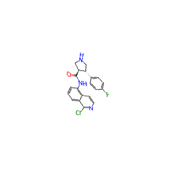 O=C(Nc1cccc2c(Cl)nccc12)[C@H]1CNC[C@@H]1c1ccc(F)cc1